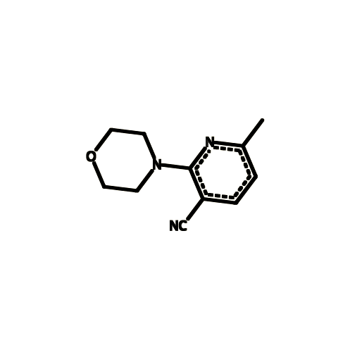 Cc1ccc(C#N)c(N2CCOCC2)n1